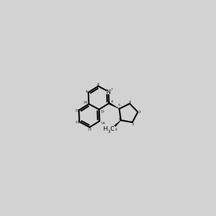 C[C@@H]1CCC[C@@H]1c1nccc2ccccc12